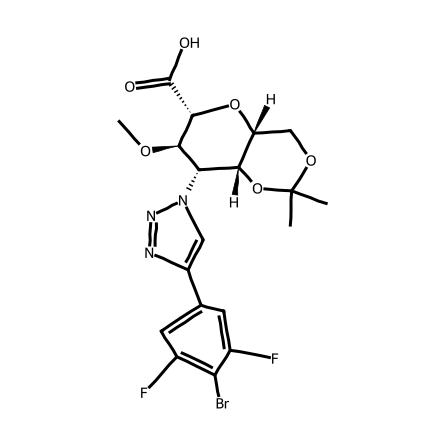 CO[C@@H]1[C@@H](n2cc(-c3cc(F)c(Br)c(F)c3)nn2)[C@H]2OC(C)(C)OC[C@H]2O[C@H]1C(=O)O